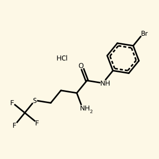 Cl.NC(CCSC(F)(F)F)C(=O)Nc1ccc(Br)cc1